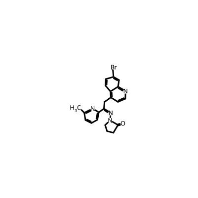 Cc1cccc(C(Cc2ccnc3cc(Br)ccc23)=NN2CCCC2=O)n1